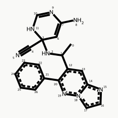 CC(NC1(C#N)C=C(N)N=CN1)c1cc2nccn2nc1-c1ccccc1